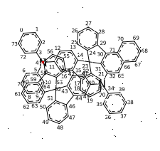 c1ccc(N(c2ccccc2)c2ccc3c(c2)-c2ccccc2C32c3ccccc3-c3c2c(N(c2ccccc2)c2ccc4c(c2)-c2ccccc2C42c4ccccc4-c4ccccc42)cc2ccccc32)cc1